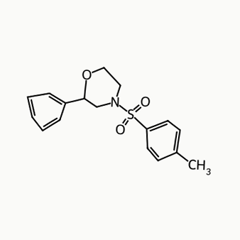 Cc1ccc(S(=O)(=O)N2CCOC(c3ccccc3)C2)cc1